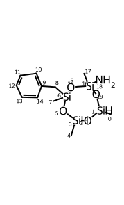 C[SiH]1O[SiH](C)O[Si](C)(Cc2ccccc2)O[Si](C)(N)O1